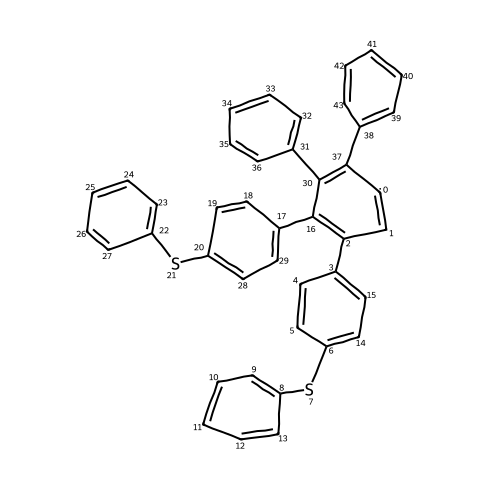 [c]1cc(-c2ccc(Sc3ccccc3)cc2)c(-c2ccc(Sc3ccccc3)cc2)c(-c2ccccc2)c1-c1ccccc1